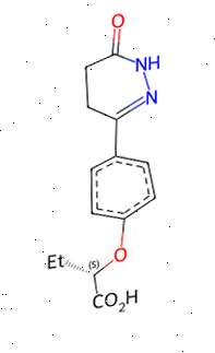 CC[C@H](Oc1ccc(C2=NNC(=O)CC2)cc1)C(=O)O